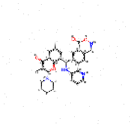 Cc1cc([C@@H](C)Nc2cccnc2-c2ccc3c(c2)C=NOB3O)c2oc(N3CCCCC3)c(C)c(=O)c2c1